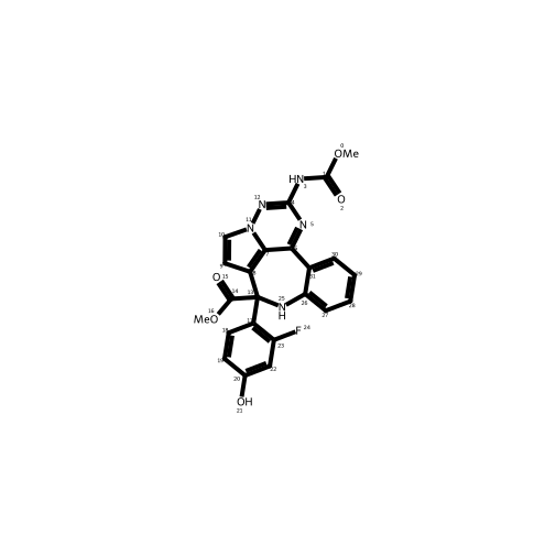 COC(=O)Nc1nc2c3c(ccn3n1)C(C(=O)OC)(c1ccc(O)cc1F)Nc1ccccc1-2